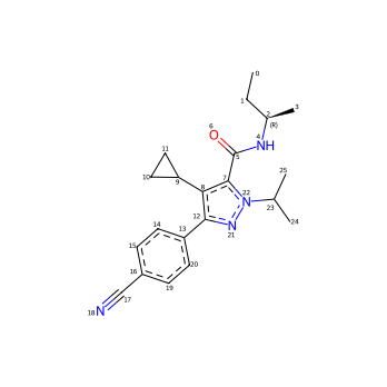 CC[C@@H](C)NC(=O)c1c(C2CC2)c(-c2ccc(C#N)cc2)nn1C(C)C